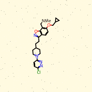 CNCc1c(OCC2CC2)ccc2c(CCC3CCN(c4ccc(Cl)nn4)CC3)noc12